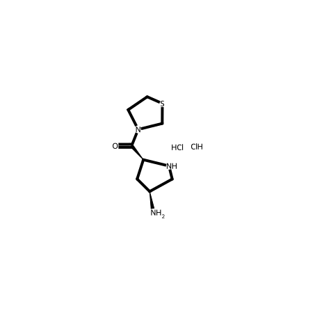 Cl.Cl.N[C@@H]1CN[C@H](C(=O)N2CCSC2)C1